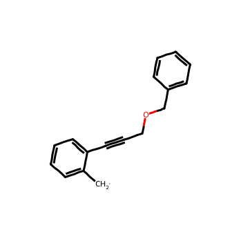 [CH2]c1ccccc1C#CCOCc1ccccc1